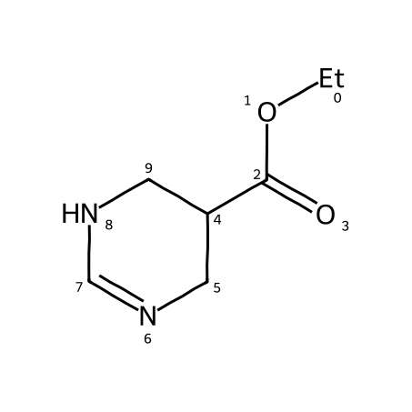 CCOC(=O)C1CN=CNC1